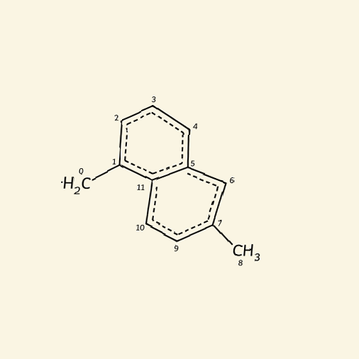 [CH2]c1cccc2cc(C)ccc12